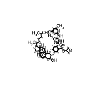 CC(C)CCC[C@@H](C)[C@H]1CC[C@H]2[C@@H]3CC=C4C[C@@H](O)CC[C@]4(C)[C@H]3CC[C@]12C.Cc1cc(C)nc(NC(=O)NS(=O)(=O)c2ccccc2C(=O)OC2COC2)n1